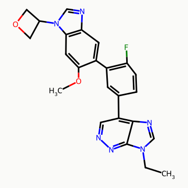 CCn1cnc2c(-c3ccc(F)c(-c4cc5ncn(C6COC6)c5cc4OC)c3)cnnc21